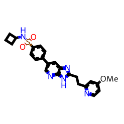 COc1ccnc(CCc2nc3cc(-c4ccc(S(=O)(=O)NC5CCC5)cc4)cnc3[nH]2)c1